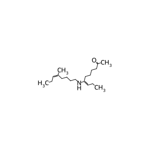 CC/C=C(/C)CCCCN/C(=C/CC)CCCCC(C)=O